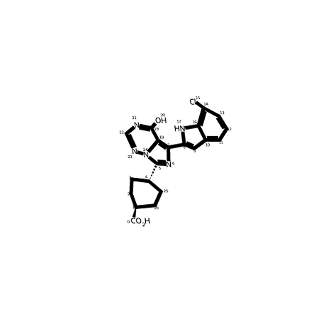 O=C(O)[C@H]1CC[C@H](c2nc(-c3cc4cccc(Cl)c4[nH]3)c3c(O)ncnn32)CC1